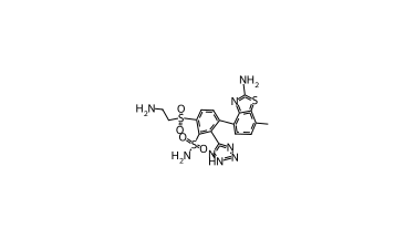 Cc1ccc(-c2ccc(S(=O)(=O)CCN)c(S(N)(=O)=O)c2-c2nn[nH]n2)c2nc(N)sc12